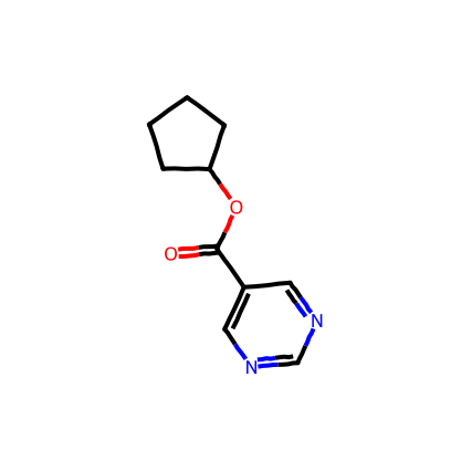 O=C(OC1CCCC1)c1cncnc1